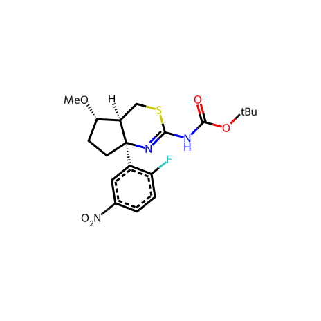 CO[C@H]1CC[C@]2(c3cc([N+](=O)[O-])ccc3F)N=C(NC(=O)OC(C)(C)C)SC[C@H]12